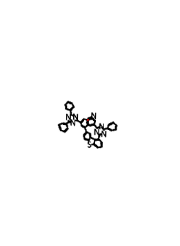 N#Cc1cc(-c2ccc3sc4cccc(-c5nc(-c6ccccc6)nc(-c6ccccc6)n5)c4c3c2)cc(-c2nc(-c3ccccc3)nc(-c3ccccc3)n2)c1